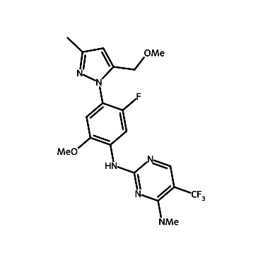 CNc1nc(Nc2cc(F)c(-n3nc(C)cc3COC)cc2OC)ncc1C(F)(F)F